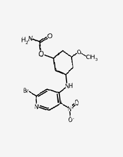 COC1CC(Nc2cc(Br)ncc2[N+](=O)[O-])CC(OC(N)=O)C1